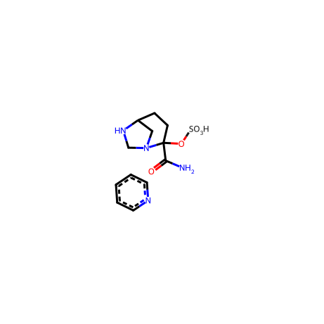 NC(=O)C1(OS(=O)(=O)O)CCC2CN1CN2.c1ccncc1